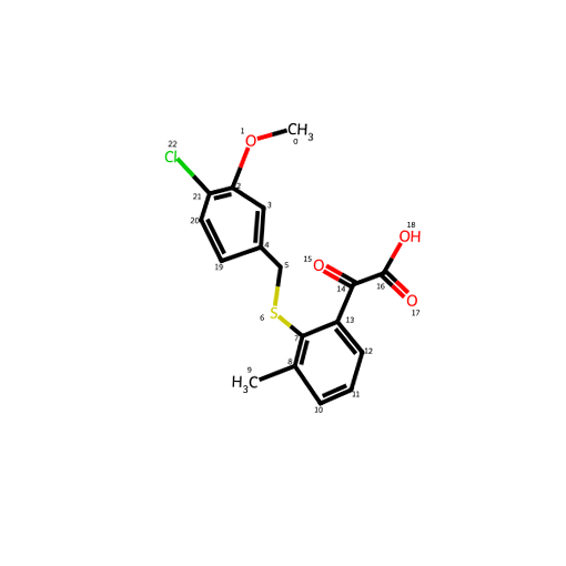 COc1cc(CSc2c(C)cccc2C(=O)C(=O)O)ccc1Cl